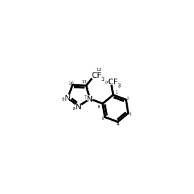 FC(F)(F)c1ccccc1-n1nncc1C(F)(F)F